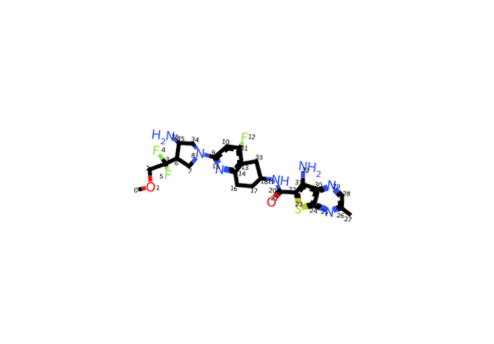 COCC(F)(F)C1CN(c2cc(F)c3c(n2)CCC(NC(=O)c2sc4nc(C)cnc4c2N)C3)CC1N